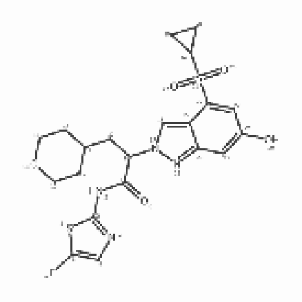 O=C(Nc1ncc(F)s1)C(CC1CCOCC1)n1cc2c(S(=O)(=O)C3CC3)cc(O)cc2n1